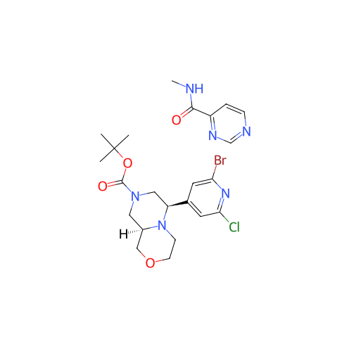 CC(C)(C)OC(=O)N1C[C@@H]2COCCN2[C@H](c2cc(Cl)nc(Br)c2)C1.CNC(=O)c1ccncn1